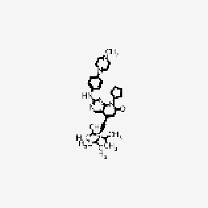 CC(C)[Si](C#Cc1cc(=O)n(C2CCCC2)c2nc(Nc3ccc(N4CCN(C)CC4)cc3)ncc12)(C(C)C)C(C)C